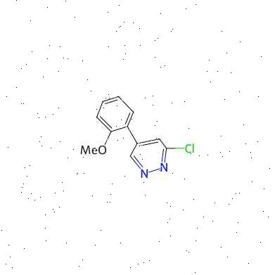 COc1ccccc1-c1cnnc(Cl)c1